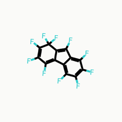 FC1=C2C(=C(F)c3c(F)c(F)c(F)c(F)c32)C(F)(F)C(F)=C1F